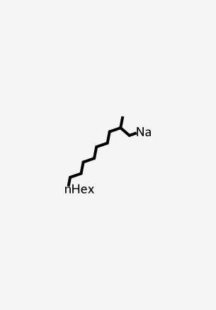 CCCCCCCCCCCCCC(C)[CH2][Na]